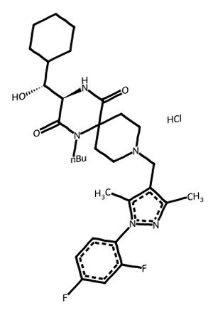 CCCCN1C(=O)[C@@H]([C@H](O)C2CCCCC2)NC(=O)C12CCN(Cc1c(C)nn(-c3ccc(F)cc3F)c1C)CC2.Cl